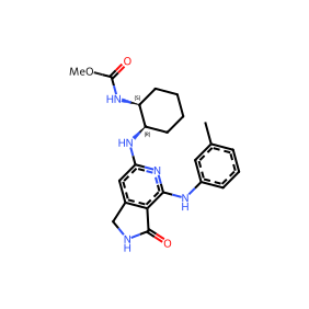 COC(=O)N[C@H]1CCCC[C@H]1Nc1cc2c(c(Nc3cccc(C)c3)n1)C(=O)NC2